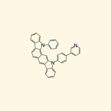 c1ccc(-n2c3ccccc3c3ccc4cc5c6ccccc6n(-c6ccc(-c7cccnc7)cc6)c5cc4c32)cc1